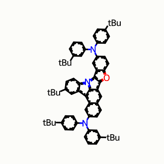 CC(C)(C)c1ccc(N(c2cccc(C(C)(C)C)c2)c2ccc3cc4c5oc6ccc(N(c7ccc(C(C)(C)C)cc7)c7cccc(C(C)(C)C)c7)cc6c5n5c6ccc(C(C)(C)C)cc6c(c3c2)c45)cc1